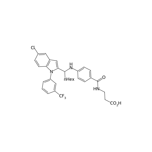 CCCCCCC(Nc1ccc(C(=O)NCCC(=O)O)cc1)c1cc2cc(Cl)ccc2n1-c1cccc(C(F)(F)F)c1